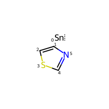 [Sn].c1cscn1